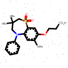 CCCCC1(CCCC)CN(c2ccccc2)c2cc(SC)c(OCCC(=O)O)cc2S(=O)(=O)C1